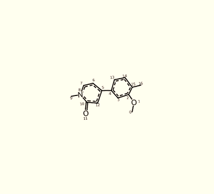 COc1cc(-c2ccn(C)c(=O)c2)ccc1C